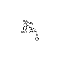 COc1ccc2ncc(N(C)C)c(CCCC3(CO)CCN(CC#Cc4cccs4)CC3)c2c1